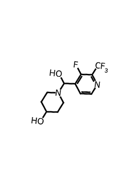 OC1CCN(C(O)c2ccnc(C(F)(F)F)c2F)CC1